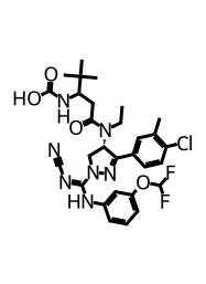 CCN(C(=O)CC(NC(=O)O)C(C)(C)C)[C@H]1CN(/C(=N\C#N)Nc2cccc(OC(F)F)c2)N=C1c1ccc(Cl)c(C)c1